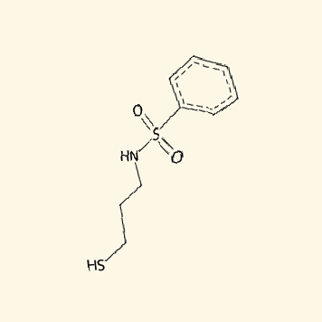 O=S(=O)(NCCCS)c1ccccc1